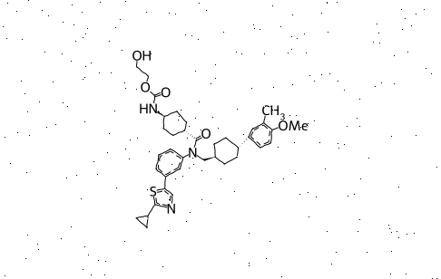 COc1ccc([C@H]2CC[C@H](CN(c3cccc(-c4cnc(C5CC5)s4)c3)C(=O)[C@H]3CC[C@H](NC(=O)OCCO)CC3)CC2)cc1C